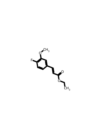 CCOC(=O)C=Cc1ccc(F)c(OC)c1